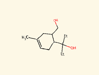 CCC(O)(CC)C1CC=C(C)CC1CO